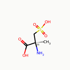 C[C@@](N)(CS(=O)(=O)O)C(=O)O